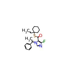 C=CC1(SC(=O)c2c(F)ncn2[C@H](C)c2ccccc2)CCCCC1